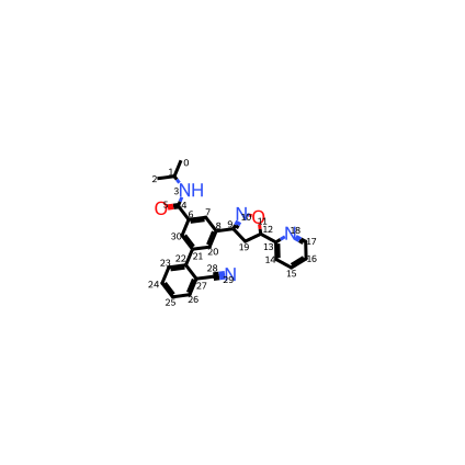 CC(C)NC(=O)c1cc(C2=NOC(c3ccccn3)C2)cc(-c2ccccc2C#N)c1